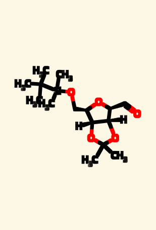 CC1(C)O[C@@H]2[C@H](O1)[C@@H](CO[Si](C)(C)C(C)(C)C)O[C@H]2C=O